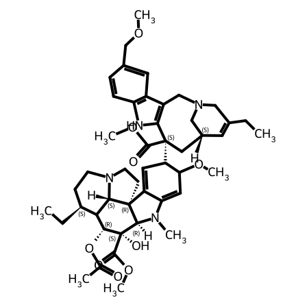 CCC1=C[C@H]2CN(C1)Cc1c([nH]c3ccc(COC)cc13)[C@@](C(=O)OC)(C1C=C3C(=CC1OC)N(C)[C@H]1[C@@](O)(C(=O)OC)[C@H](OC(C)=O)C4[C@@H](CC)CCN5CC[C@]31[C@H]45)C2